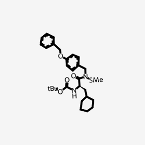 CSN(Cc1ccc(OCc2ccccc2)cc1)C(=O)[C@@H](CC1CCCCC1)NC(=O)OC(C)(C)C